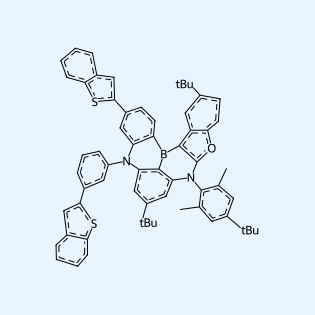 Cc1cc(C(C)(C)C)cc(C)c1N1c2cc(C(C)(C)C)cc3c2B(c2ccc(-c4cc5ccccc5s4)cc2N3c2cccc(-c3cc4ccccc4s3)c2)c2c1oc1ccc(C(C)(C)C)cc21